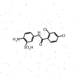 Nc1ccc(NC(=O)c2ccc(Cl)cc2Cl)cc1S(=O)(=O)O